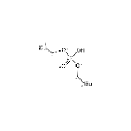 CCC(C)COP(=O)(O)OCC(C)CC